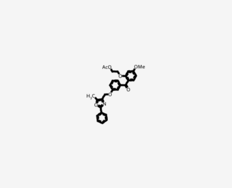 COc1ccc(C(=O)c2cccc(OCc3nc(-c4ccccc4)oc3C)c2)c(OCCOC(C)=O)c1